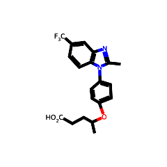 Cc1nc2cc(C(F)(F)F)ccc2n1-c1ccc(OC(C)CCC(=O)O)cc1